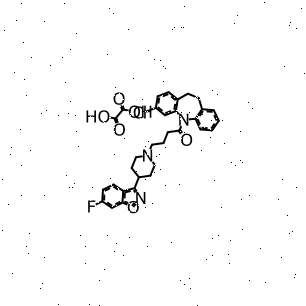 O=C(CCCN1CCC(c2noc3cc(F)ccc23)CC1)N1c2ccccc2CCc2ccc(Cl)cc21.O=C(O)C(=O)O